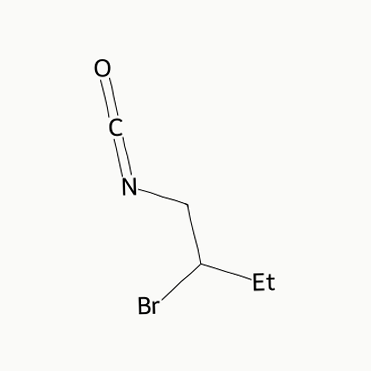 CCC(Br)CN=C=O